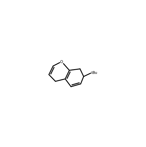 CC(C)(C)C1C=CC2=C(C1)OC=CC2